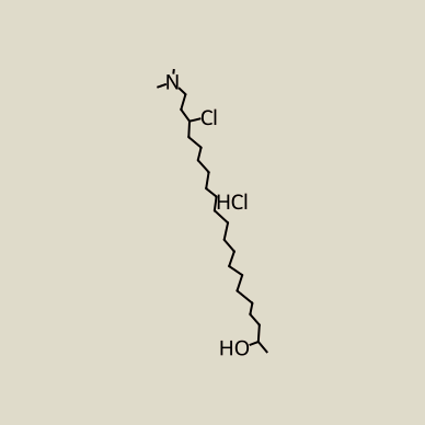 CC(O)CCCCCCCCCCCCCCCCC(Cl)CCN(C)C.Cl